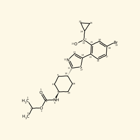 CC(C)OC(=O)N[C@H]1CC[C@H](c2ncc(-c3ccc(Br)cc3[S+]([O-])C3CC3)s2)CC1